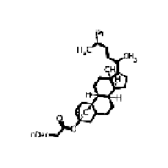 CCCCCCCCCCCC(=O)OC1CC[C@@]2(C)C(CC[C@H]3[C@@H]4CC[C@H]([C@H](C)CC[C@@H](C)C(C)C)[C@@]4(C)CC[C@@H]32)C1